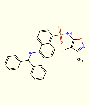 Cc1noc(NS(=O)(=O)c2cccc3c(NC(c4ccccc4)c4ccccc4)cccc23)c1C